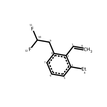 C=Cc1c(CC)cccc1CC(F)F